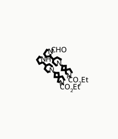 CCOC(=O)N1CCC2(CC(N3CCC(C4CCCN4)CC3)C2)C1.CCOC(=O)N1CCC2(CC(N3CCC(C4CCCN4C=O)CC3)C2)C1